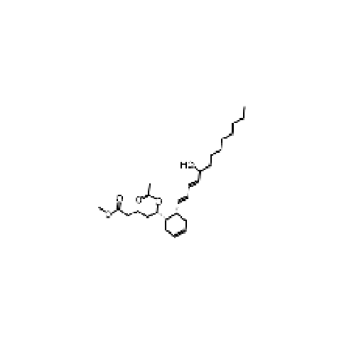 CCCCCCCCC(O)/C=C/C=C/[C@@H]1CC=CC[C@@H]1C(CCCC(=O)OC)OC(C)=O